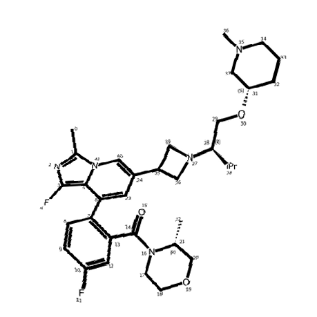 Cc1nc(F)c2c(-c3ccc(F)cc3C(=O)N3CCOC[C@H]3C)cc(C3CN([C@@H](CO[C@H]4CCCN(C)C4)C(C)C)C3)cn12